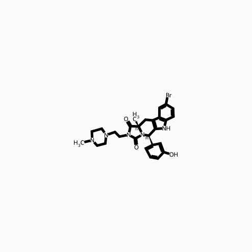 CN1CCN(CCN2C(=O)N3[C@H](c4cccc(O)c4)c4[nH]c5ccc(Br)cc5c4C[C@@]3(C)C2=O)CC1